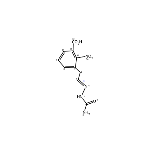 NC(=O)N/N=C/Cc1cccc(C(=O)O)c1[N+](=O)[O-]